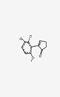 COc1ccc(Cl)c(Cl)c1C1=CCCC1=O